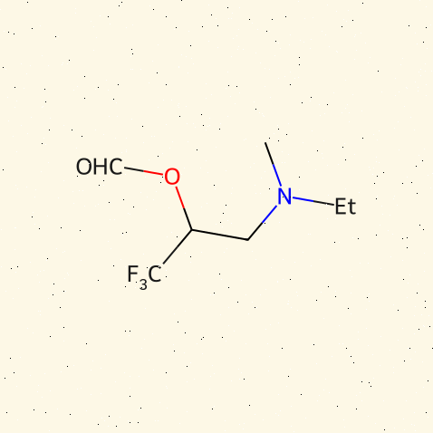 CCN(C)CC(OC=O)C(F)(F)F